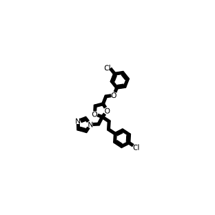 Clc1ccc(CCC2(Cn3ccnc3)OCC(COc3cccc(Cl)c3)O2)cc1